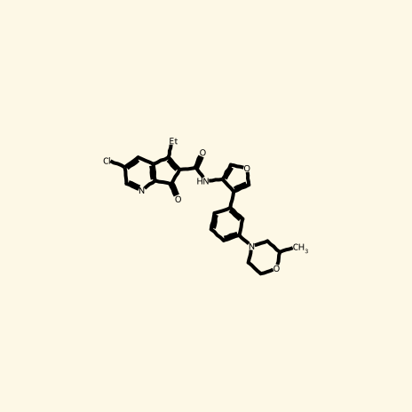 CCC1=C(C(=O)Nc2cocc2-c2cccc(N3CCOC(C)C3)c2)C(=O)c2ncc(Cl)cc21